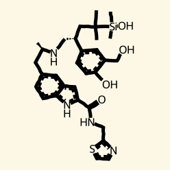 C[C@H](Cc1ccc2[nH]c(C(=O)NCc3nccs3)cc2c1)NC[C@H](CC(C)(C)[Si](C)(C)O)c1ccc(O)c(CO)c1